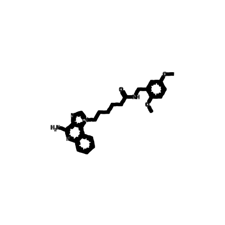 COc1ccc(OC)c(CNC(=O)CCCCCn2cnc3c(N)nc4ccccc4c32)c1